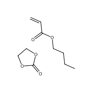 C=CC(=O)OCCCC.O=C1OCCO1